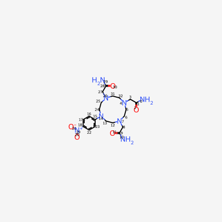 NC(=O)CN1CCN(CC(N)=O)CCN(c2ccc([N+](=O)[O-])cc2)CCN(CC(N)=O)CC1